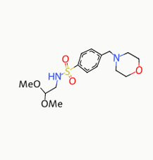 COC(CNS(=O)(=O)c1ccc(CN2CCOCC2)cc1)OC